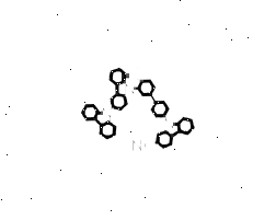 N#Cc1ccc2c3ccccc3n(-c3ccc(-c4ccc(C#N)c(-n5c6ccccc6c6cc(-n7c8ccccc8c8ccccc87)ccc65)c4)cc3)c2c1